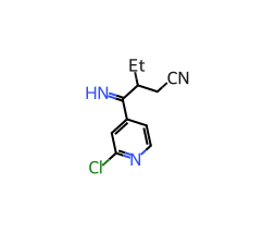 CCC(CC#N)C(=N)c1ccnc(Cl)c1